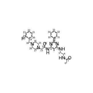 CC(=O)NCCNc1cc(NC(=O)CN2CCN(Cc3ccccc3F)CC2)nc(-c2ccccc2)n1